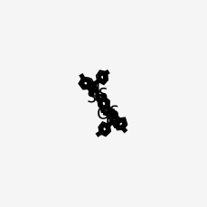 Cc1ccc(-n2c3cc(C)ccc3c3sc4c5cc6sc7c(sc8c9ccc(C)cc9n(-c9ccc(C)cc9)c87)c6cc5oc4c32)cc1